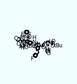 C[C@@H]1COCCN1C[C@H]1CN(C(=O)OC(C)(C)C)[C@H](C)CN1CC(=O)N1CC(C)(C(=O)Nc2ccc3c(c2)[C@@H](C(=O)Nc2c(F)cccc2F)C(C(=O)[C@@H](NC(=O)[C@H](C)N(C)C(=O)OC(C)(C)C)C2CCOCC2)C3)c2ccc(Cc3ccc(F)cc3)cc21